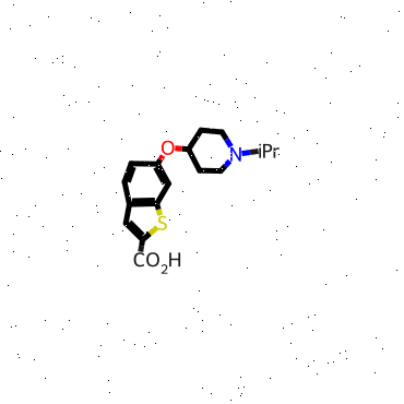 CC(C)N1CCC(Oc2ccc3cc(C(=O)O)sc3c2)CC1